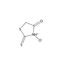 O=C1CSC(=S)[NH+]1[O-]